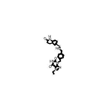 CCn1cnc2c1c(=O)[nH]c(=O)n2Cc1ccc(CNSc2ccc3c(c2)CCC(=O)N3)cc1